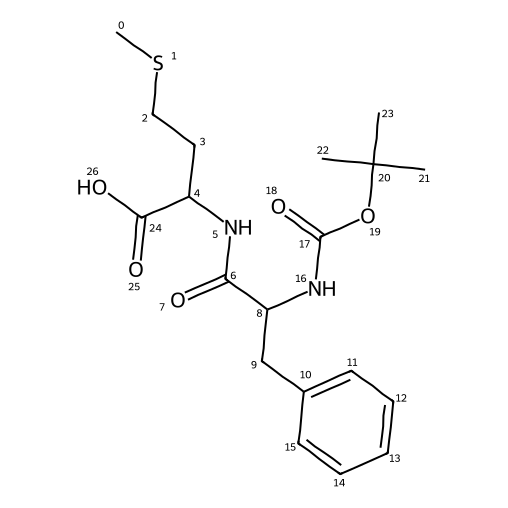 CSCCC(NC(=O)C(Cc1ccccc1)NC(=O)OC(C)(C)C)C(=O)O